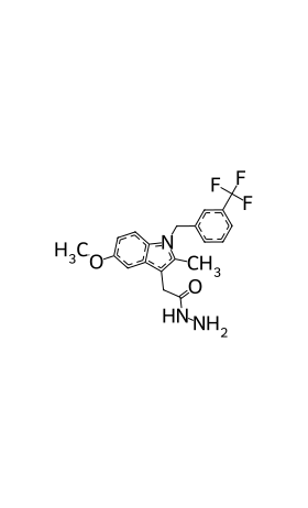 COc1ccc2c(c1)c(CC(=O)NN)c(C)n2Cc1cccc(C(F)(F)F)c1